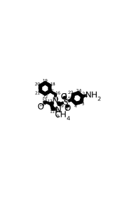 C.Nc1ccc(S(=O)(=O)c2ncc(C=O)n2Cc2ccccc2)cc1